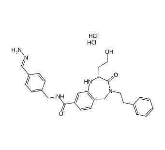 Cl.Cl.NN=Cc1ccc(CNC(=O)c2ccc3c(c2)NC(CCO)C(=O)N(CCc2ccccc2)C3)cc1